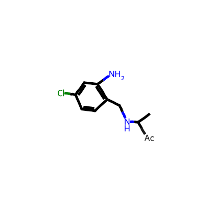 CC(=O)C(C)NCc1ccc(Cl)cc1N